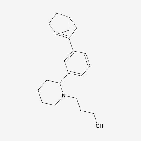 OCCCN1CCCCC1c1cccc(C2=C3CCC(C3)C2)c1